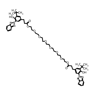 CC(C)(C)c1cc(CCC(=O)OCCOCCOCCOCCOCCOCCOCCOC(=O)CCc2cc(-n3nc4ccccc4n3)c(O)c(C(C)(C)C)c2)cc(-n2nc3ccccc3n2)c1O